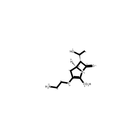 CC(O)[C@@H]1C(=O)N2C(C(=O)O)=C(SCCN)C[C@@H]12